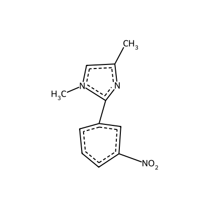 Cc1cn(C)c(-c2cccc([N+](=O)[O-])c2)n1